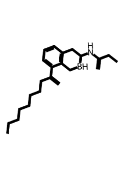 C=C(CC)NC1BCc2c(cccc2C(=C)CCCCCCCC)C1